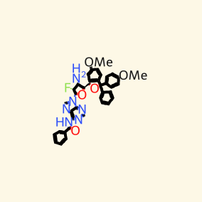 COc1ccc(C(OC[C@H]2O[C@@H](n3cnc4c(NC(=O)c5ccccc5)ncnc43)[C@H](F)[C@@H]2N)(c2ccccc2)c2ccc(OC)cc2)cc1